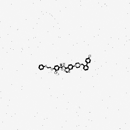 O=S(=O)(Nc1ncnc2cc(N3CCN(Cc4ccccc4-c4ccc(Cl)cc4)CC3)ccc12)c1ccc(OCCSc2ccccc2)c(C(F)(F)F)c1